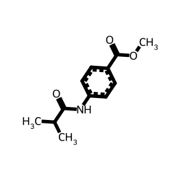 COC(=O)c1ccc(NC(=O)C(C)C)cc1